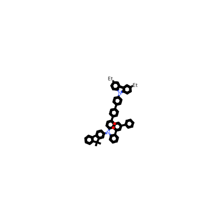 CCc1ccc2c(c1)c1cc(CC)ccc1n2-c1ccc(-c2ccc(-c3ccc(N(c4ccc5c(c4)C(C)(C)c4ccccc4-5)c4ccccc4-c4cccc(-c5ccccc5)c4)cc3)cc2)cc1